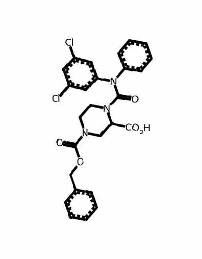 O=C(O)C1CN(C(=O)OCc2ccccc2)CCN1C(=O)N(c1ccccc1)c1cc(Cl)cc(Cl)c1